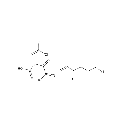 C=C(CC(=O)O)C(=O)O.C=C(Cl)Cl.C=CC(=O)OCCCl